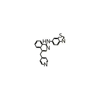 c1ccc2c(Nc3ccc4ncsc4c3)ncc(Cc3ccncc3)c2c1